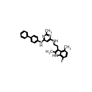 Cc1nc(NCCc2c(C)[nH]c3c(F)ccc(C)c23)cc(Nc2ccc(-c3ccccc3)cc2)n1